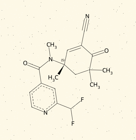 CN(C(=O)c1ccnc(C(F)F)c1)[C@]1(C)C=C(C#N)C(=O)C(C)(C)C1